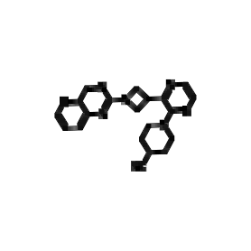 N#CC1CCN(c2nccnc2C2CN(c3ncc4ncccc4n3)C2)CC1